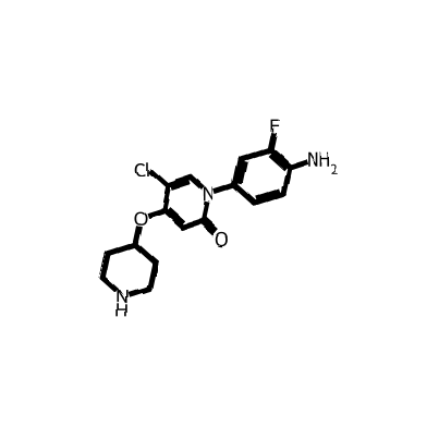 Nc1ccc(-n2cc(Cl)c(OC3CCNCC3)cc2=O)cc1F